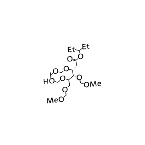 CCC(CC)OC(=O)C[C@@H](OCOI)[C@H](OCOC)[C@@H](COCOC)OCO